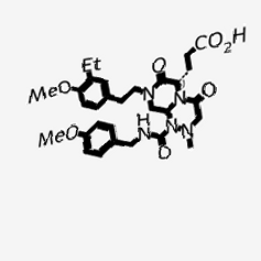 CCc1cc(CCN2CC3N(C(=O)CN(C)N3C(=O)NCc3ccc(OC)cc3)[C@@H](CCC(=O)O)C2=O)ccc1OC